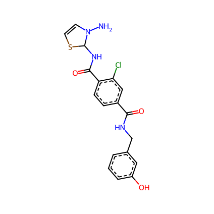 NN1C=CSC1NC(=O)c1ccc(C(=O)NCc2cccc(O)c2)cc1Cl